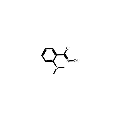 CN(C)c1ccccc1C(Cl)=NO